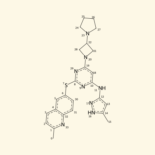 Cc1ccc2cc(Sc3nc(Nc4cc(C)[nH]n4)cc(N4CC(N5CCCC5)C4)n3)ccc2n1